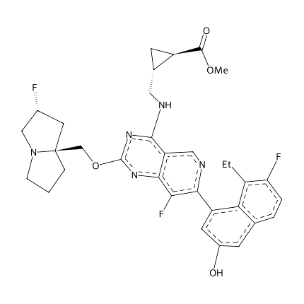 CCc1c(F)ccc2cc(O)cc(-c3ncc4c(NC[C@@H]5C[C@H]5C(=O)OC)nc(OC[C@@]56CCCN5C[C@H](F)C6)nc4c3F)c12